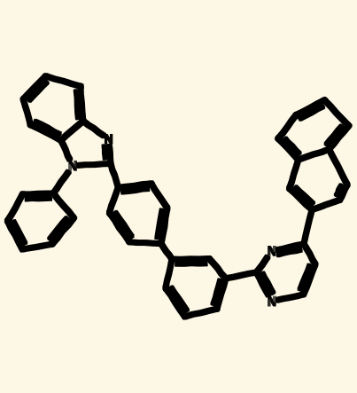 c1ccc(-n2c(-c3ccc(-c4cccc(-c5nccc(-c6ccc7ccccc7c6)n5)c4)cc3)nc3ccccc32)cc1